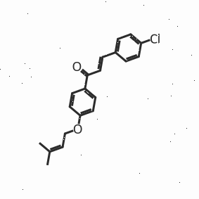 CC(C)=CCOc1ccc(C(=O)C=Cc2ccc(Cl)cc2)cc1